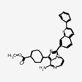 COC(=O)C1CCC(c2nc(-c3ccc4ccc(-c5ccccc5)nc4c3)n3ccnc(N)c23)CC1